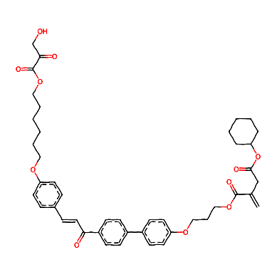 C=C(CC(=O)OC1CCCCC1)C(=O)OCCCOc1ccc(-c2ccc(C(=O)/C=C/c3ccc(OCCCCCCOC(=O)C(=O)CO)cc3)cc2)cc1